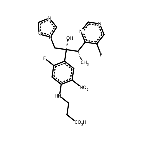 C[C@@H](c1ncncc1F)[C@](O)(Cn1cncn1)c1cc([N+](=O)[O-])c(NCCC(=O)O)cc1F